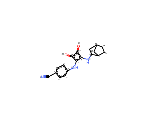 N#Cc1ccc(Nc2c(NC3CC4CCC3C4)c(=O)c2=O)cc1